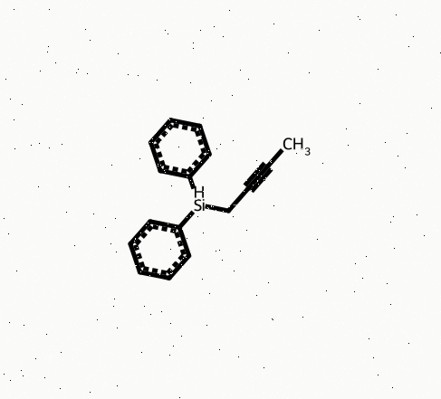 CC#CC[SiH](c1ccccc1)c1ccccc1